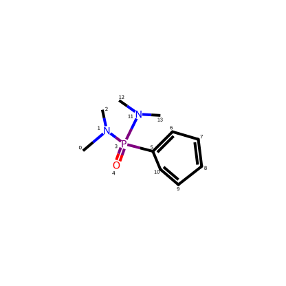 CN(C)P(=O)(c1ccccc1)N(C)C